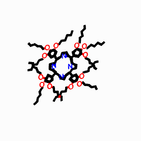 CCCCCCOc1cc(C2=C3C=CC(=N3)C(c3cc(OCCCCCC)c(OCCCCCC)c(OCCCCCC)c3)=C3C=CC(=N3)C(c3cc(OCCCCCC)c(OCCCCCC)c(OCCCCCC)c3)=C3C=CC(=N3)C(c3cc(OCCCCCC)c(OCCCCCC)c(OCCCCCC)c3)=C3C=CC2=N3)cc(OCCCCCC)c1OCCCCCC